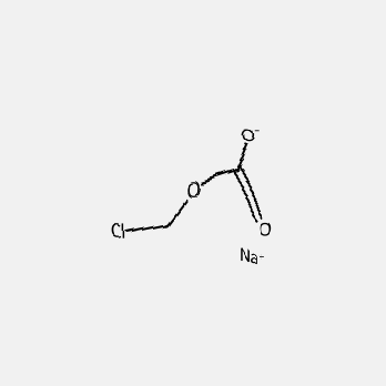 O=C([O-])OCCl.[Na+]